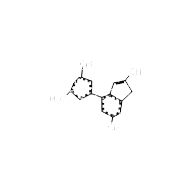 CC1=Cc2c(cc(C)cc2-c2cc(C)cc(C)c2)C1